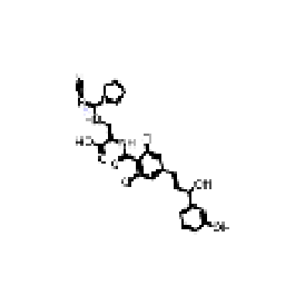 N#C/N=C(/NCC(NC(=O)c1c(Cl)cc(CCC(O)c2cccc(O)c2)cc1Cl)C(=O)O)N1CCCC1